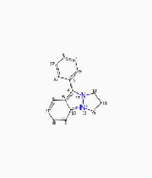 c1ccc(-c2c3ccccc3[n+]3n2CCC3)cc1